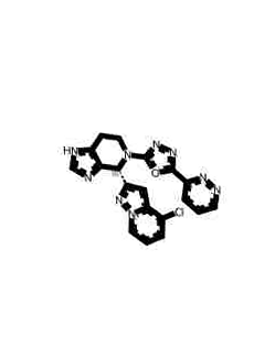 Clc1cccn2nc([C@@H]3c4nc[nH]c4CCN3c3nnc(-c4cccnn4)o3)cc12